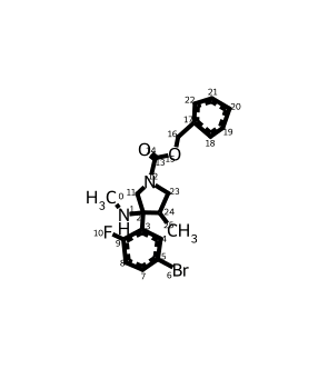 CNC1(c2cc(Br)ccc2F)CN(C(=O)OCc2ccccc2)CC1C